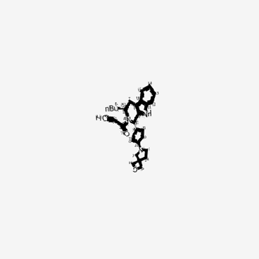 C#CC(=O)N1[C@@H](CCCC)Cc2c([nH]c3ccccc23)[C@@H]1c1ccc(N2CCC3(COC3)C2)cc1